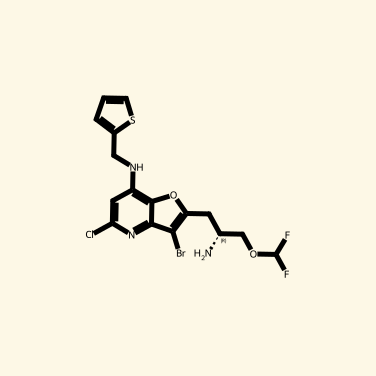 N[C@@H](COC(F)F)Cc1oc2c(NCc3cccs3)cc(Cl)nc2c1Br